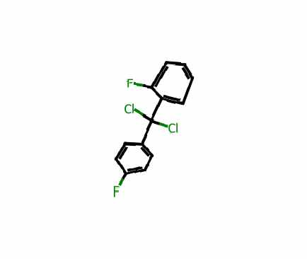 Fc1ccc(C(Cl)(Cl)c2ccccc2F)cc1